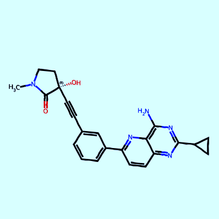 CN1CC[C@@](O)(C#Cc2cccc(-c3ccc4nc(C5CC5)nc(N)c4n3)c2)C1=O